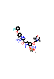 Cc1cc(Oc2ccccc2F)ccc1-n1ncc(C(=O)c2cc3cc(OCCN4[C@@H]5CC[C@H]4COC5)c(NS(C)(=O)=O)cc3[nH]2)c1N